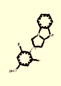 COc1cc(F)c([C@H]2CC3Nc4ccccc4N3C2)c(F)c1